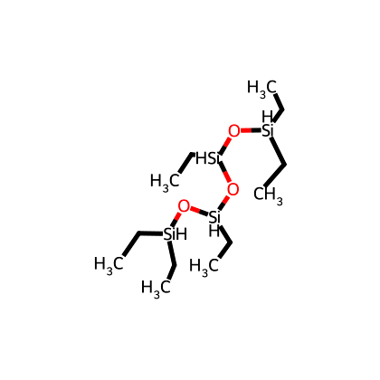 CC[SiH](CC)O[SiH](CC)O[SiH](CC)O[SiH](CC)CC